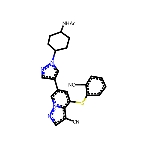 CC(=O)NC1CCC(n2cc(-c3cc(Sc4ccccc4C#N)c4c(C#N)cnn4c3)cn2)CC1